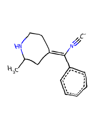 [C-]#[N+]C(=C1CCNC(C)C1)c1ccccc1